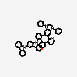 c1ccc(-n2ccn(-c3ccccc3)c3cc4c(cc32)c2cccc(-n3c5ccccc5c5cc(-n6c7ccccc7c7ccccc76)ccc53)c2c2ccccc2c2cccnc24)cc1